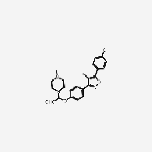 Cc1c(-c2ccc(OC(C=O)N3CCN(C)CC3)cc2)noc1-c1ccc(Cl)cc1